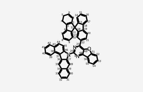 C1=CC2=C(CC1)c1ccccc1C21c2ccccc2-c2ccc(-c3nc(-n4c5cc6ccccc6cc5c5c6ccccc6ccc54)nc4c3oc3ccccc34)cc21